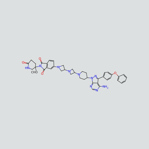 Nc1ncnc2c1c(-c1ccc(Oc3ccccc3)cc1)nn2C1CCN(C2CN(C3CN(c4ccc5c(c4)C(=O)N(C4(C=O)CCC(=O)NC4)C5=O)C3)C2)CC1